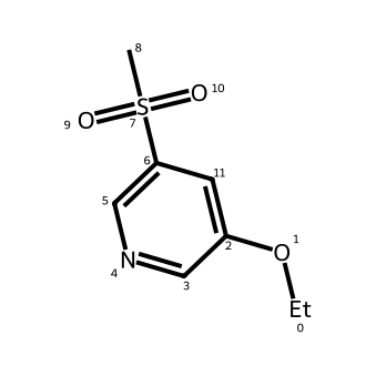 CCOc1cncc(S(C)(=O)=O)c1